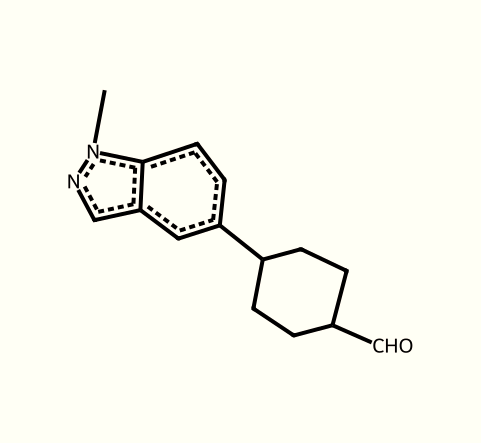 Cn1ncc2cc(C3CCC(C=O)CC3)ccc21